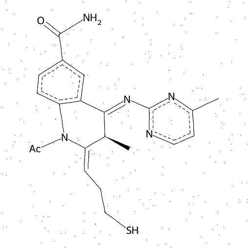 CC(=O)N1/C(=C/CCS)[C@H](C)/C(=N\c2nccc(C)n2)c2cc(C(N)=O)ccc21